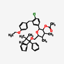 CCOc1ccc(Cc2cc(C3OC(CO[Si](c4ccccc4)(c4ccccc4)C(C)(C)C)C(C)C(C)C3OC(C)=O)ccc2Cl)cc1